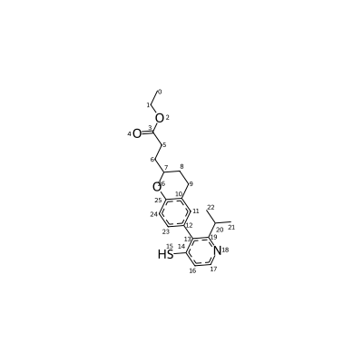 CCOC(=O)CCC1CCc2cc(-c3c(S)ccnc3C(C)C)ccc2O1